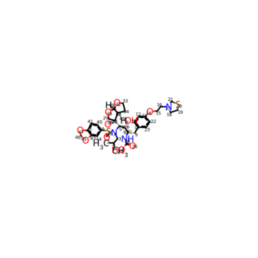 CC(C)CN(C([C@H](O)[C@H](Cc1ccc(OCCN2CCSC2)cc1)NC(=O)O)[C@@H]1CO[C@H]2OCC[C@H]21)S(=O)(=O)c1ccc2c(c1)OCO2